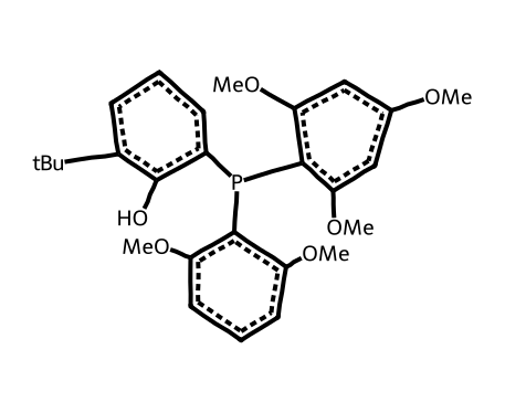 COc1cc(OC)c(P(c2cccc(C(C)(C)C)c2O)c2c(OC)cccc2OC)c(OC)c1